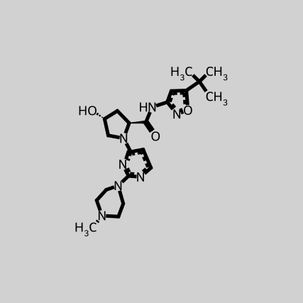 CN1CCN(c2nccc(N3C[C@H](O)C[C@H]3C(=O)Nc3cc(C(C)(C)C)on3)n2)CC1